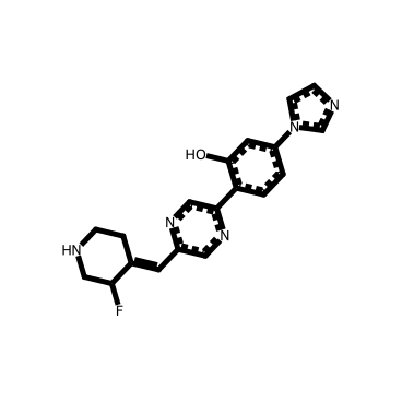 Oc1cc(-n2ccnc2)ccc1-c1cnc(C=C2CCNCC2F)cn1